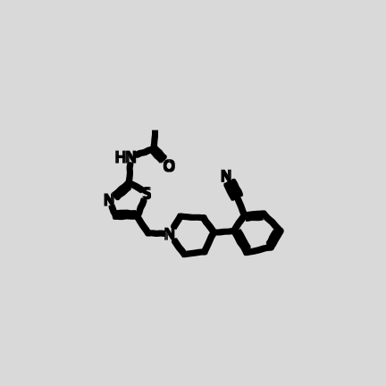 CC(=O)Nc1ncc(CN2CCC(c3ccccc3C#N)CC2)s1